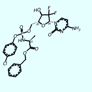 C[C@H](NP(=O)(OC[C@H]1O[C@@H](n2ccc(N)nc2=O)C(F)(F)C1O)Oc1ccc(Cl)cc1)C(=O)OCc1ccccc1